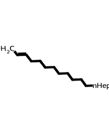 [CH2]C=CCCCCCCCCCCCCCCC[CH2]